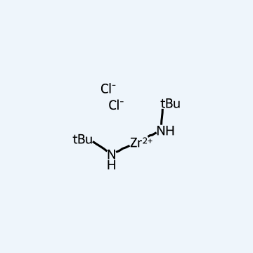 CC(C)(C)[NH][Zr+2][NH]C(C)(C)C.[Cl-].[Cl-]